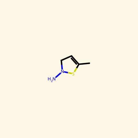 CC1=CCN(N)S1